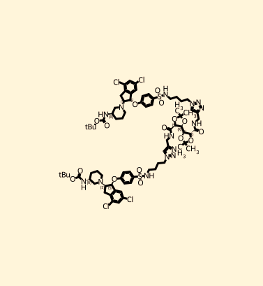 CC(C)(C)OC(=O)N[C@@H]1CCCN([C@H]2Cc3c(Cl)cc(Cl)cc3[C@@H]2Oc2ccc(S(=O)(=O)NCCCCn3cc(CNC(=O)[C@H]4OC(C)(C)O[C@@H]4[C@@H]4OC(C)(C)O[C@H]4C(=O)NCc4cn(CCCCNS(=O)(=O)c5ccc(O[C@H]6c7cc(Cl)cc(Cl)c7C[C@@H]6N6CCC[C@@H](NC(=O)OC(C)(C)C)C6)cc5)nn4)nn3)cc2)C1